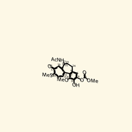 COC(=O)Oc1cc2c(c(OC)c1O)-c1ccc(SC)c(=O)cc1[C@@H](NC(C)=O)CC2